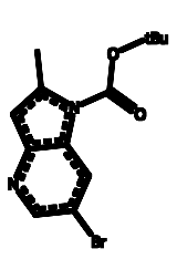 Cc1cc2ncc(Br)cc2n1C(=O)OC(C)(C)C